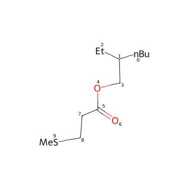 CCCCC(CC)COC(=O)CCSC